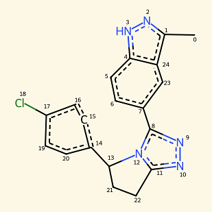 Cc1n[nH]c2ccc(-c3nnc4n3C(c3ccc(Cl)cc3)CC4)cc12